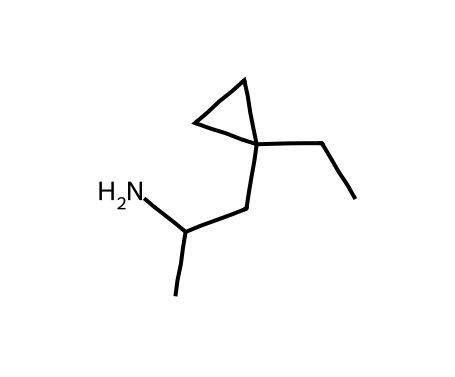 CCC1(CC(C)N)CC1